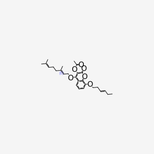 CCC=CCCOc1cccc2c(OC/C=C(\C)CCC=C(C)C)c(OC(C)=O)c(=O)oc12